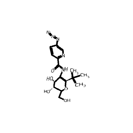 CC(C)(C)[C@H]1OC(CO)[C@H](O)[C@H](O)C1NC(=O)c1ccc(N=[N+]=[N-])cn1